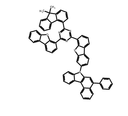 CC1(C)c2ccccc2-c2c(-c3nc(-c4cccc5c4oc4ccccc45)nc(-c4cccc5c4sc4cc(-n6c7ccccc7c7c8ccccc8c(-c8ccccc8)cc76)ccc45)n3)cccc21